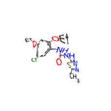 CCOc1cc(OCC)c(NC(=O)Nc2nnc(C)s2)cc1Cl